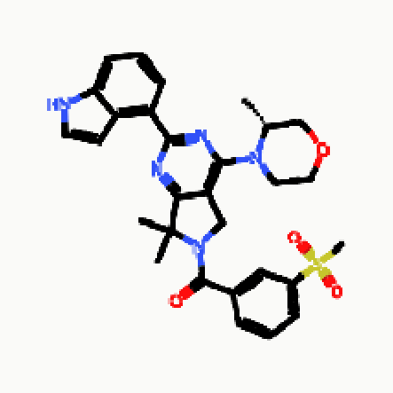 C[C@@H]1COCCN1c1nc(-c2cccc3[nH]ccc23)nc2c1CN(C(=O)c1cccc(S(C)(=O)=O)c1)C2(C)C